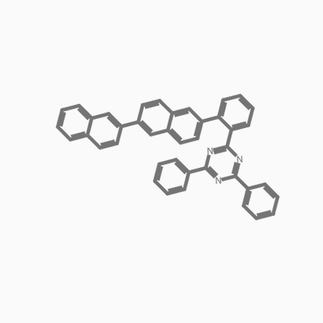 c1ccc(-c2nc(-c3ccccc3)nc(-c3ccccc3-c3ccc4cc(-c5ccc6ccccc6c5)ccc4c3)n2)cc1